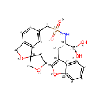 O=S(=O)(Cc1ccc2c(c1)C1(CCOC1)OC2)N[C@@H](Cc1coc2ccccc12)B(O)O